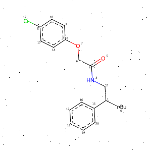 CCCCC(CNC(=O)COc1ccc(Cl)cc1)c1ccccc1